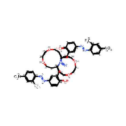 [N-]=[N+]1C2(Cc3cc(N=Nc4ccc([N+](=O)[O-])cc4C(F)(F)F)ccc3O)CCOCCOCCC1(Cc1cc(N=Nc3ccc([N+](=O)[O-])cc3C(F)(F)F)ccc1O)CCOCCOCC2